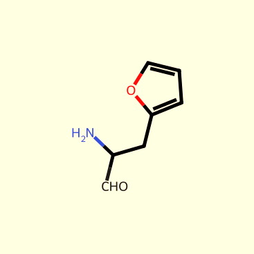 NC(C=O)Cc1ccco1